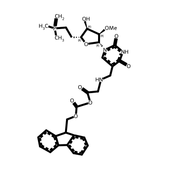 C=P(C)(C)CC[C@H]1O[C@@H](n2cc(CNCC(=O)OC(=O)OCC3c4ccccc4-c4ccccc43)c(=O)[nH]c2=O)[C@H](OC)[C@@H]1O